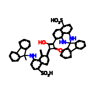 C=c1/c(=C2/C(=O)C(c3ccc4c(S(=O)(=O)O)ccc5c4c3NC3(N5)c4ccccc4-c4ccccc43)=C2O)ccc2c(S(=O)(=O)O)ccc(NC3(C)c4ccccc4-c4ccccc43)c12